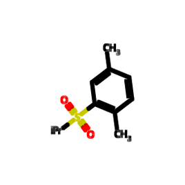 Cc1ccc(C)c(S(=O)(=O)C(C)C)c1